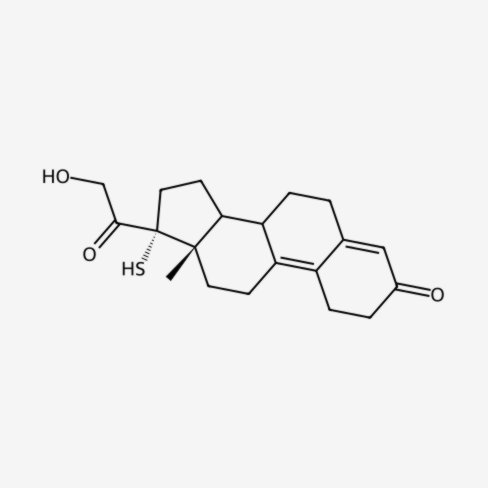 C[C@]12CCC3=C4CCC(=O)C=C4CCC3C1CC[C@]2(S)C(=O)CO